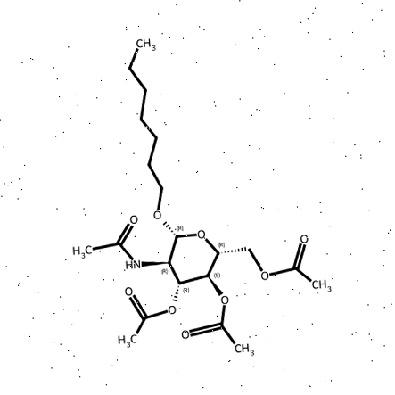 CCCCCCCO[C@@H]1O[C@H](COC(C)=O)[C@@H](OC(C)=O)[C@H](OC(C)=O)[C@H]1NC(C)=O